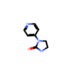 O=C1[N]CCN1c1ccncc1